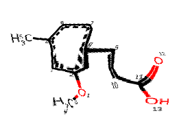 COc1cc(C)ccc1/C=C/C(=O)O